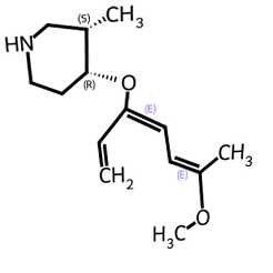 C=C/C(=C\C=C(/C)OC)O[C@@H]1CCNC[C@@H]1C